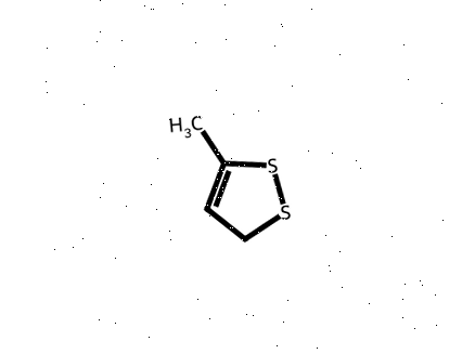 CC1=CCSS1